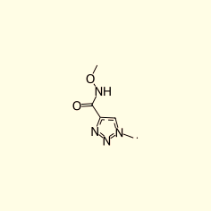 [CH2]n1cc(C(=O)NOC)nn1